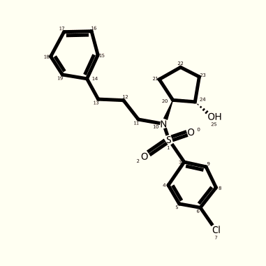 O=S(=O)(c1ccc(Cl)cc1)N(CCCc1ccccc1)[C@H]1CCC[C@@H]1O